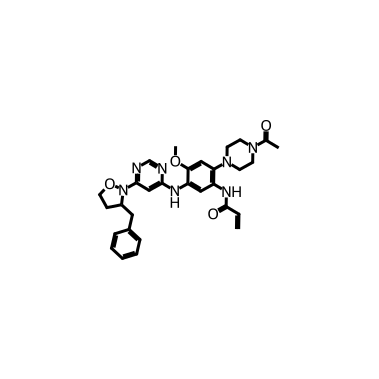 C=CC(=O)Nc1cc(Nc2cc(N3OCCC3Cc3ccccc3)ncn2)c(OC)cc1N1CCN(C(C)=O)CC1